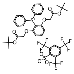 CC(C)(C)OC(=O)COc1cccc(OCC(=O)OC(C)(C)C)c1[S+](c1ccccc1)c1ccccc1.O=S(=O)([O-])c1c(C(F)(F)F)cc(C(F)(F)F)cc1C(F)(F)F